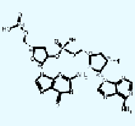 Nc1nc2c(ncn2[C@@H]2O[C@H](CO[PH](=O)O)CC2OP(=O)(S)OC[C@@H]2C[C@H](F)[C@H](n3cnc4c(N)ncnc43)O2)c(=O)[nH]1